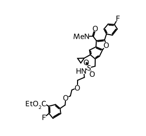 CCOC(=O)c1cc(COCCOCCNS(=O)(=O)Cc2cc3oc(-c4ccc(F)cc4)c(C(=O)NC)c3cc2C2CC2)ccc1F